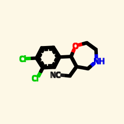 N#CCC1CNCCOC1c1ccc(Cl)c(Cl)c1